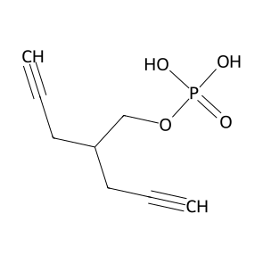 C#CCC(CC#C)COP(=O)(O)O